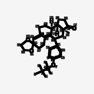 CC(C)(C)[Si](C)(C)Oc1ccc(C2C[C@]3(C)C(=O)CC[C@H]3[C@@H]3CCC4=CC5(CCC4=C23)OCCO5)cc1